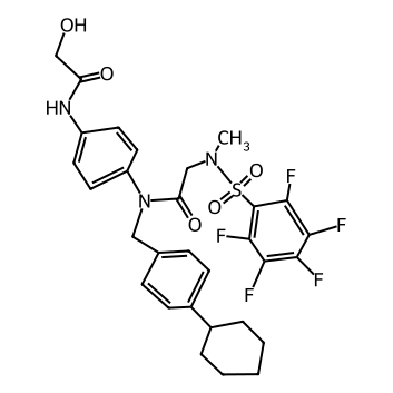 CN(CC(=O)N(Cc1ccc(C2CCCCC2)cc1)c1ccc(NC(=O)CO)cc1)S(=O)(=O)c1c(F)c(F)c(F)c(F)c1F